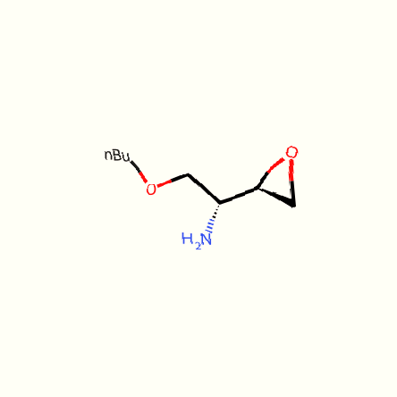 CCCCOC[C@@H](N)[C@@H]1CO1